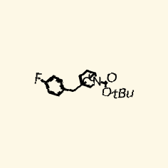 CC(C)(C)OC(=O)N1CC2(Cc3ccc(F)cc3)CCC1CC2